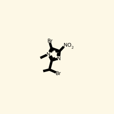 CC(Br)c1nc([N+](=O)[O-])c(Br)n1C